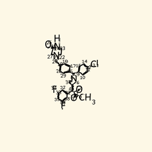 CS(=O)(=O)C(=C1CN(C(c2ccc(Cl)cc2)c2ccc(CN3CCNC(=O)C3)cc2)C1)c1cc(F)cc(F)c1